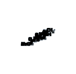 [CH2]c1cc2nc(S(=O)(=O)CCC(=O)COC)ccc2[nH]1